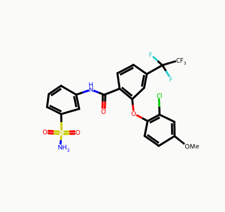 COc1ccc(Oc2cc(C(F)(F)C(F)(F)F)ccc2C(=O)Nc2cccc(S(N)(=O)=O)c2)c(Cl)c1